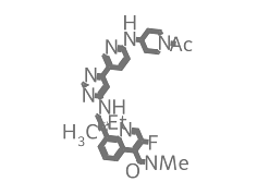 CC[C@](C)(CNc1cc(-c2ccc(NC3CCN(C(C)=O)CC3)nc2)ncn1)c1cccc2c(C(=O)NC)c(F)cnc12